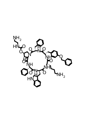 NCCCC[C@@H]1NC(=O)[C@@H](CC2CNc3ccccc32)NC(=O)[C@H](c2ccccc2)NC(=O)[C@@H]2C[C@@H](OC(=O)NCCN)CN2C(=O)[C@H](Cc2ccccc2)NC(=O)[C@H](Cc2ccc(OCc3ccccc3)cc2)NC1=O